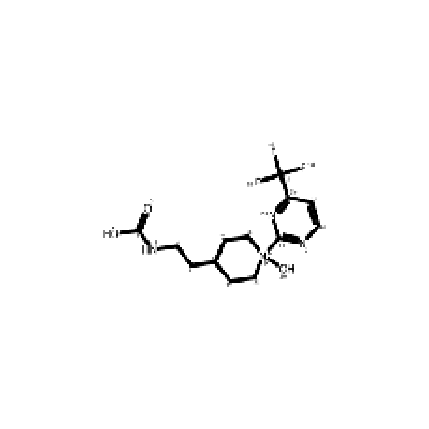 O=C(O)NCCC1CC[N+](O)(c2nccc(C(F)(F)F)n2)CC1